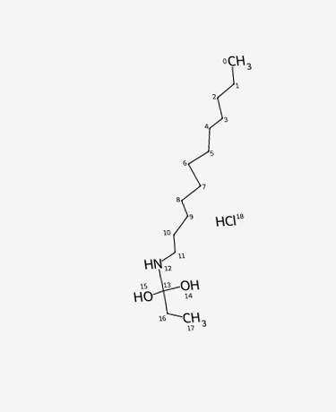 CCCCCCCCCCCCNC(O)(O)CC.Cl